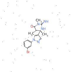 CC1C(=O)N(C)C(=N)N[C@]1(C)c1cnn(-c2cccc(Br)c2)c1